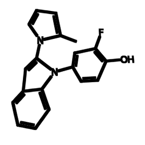 Cc1cccn1-c1cc2ccccc2n1-c1ccc(O)c(F)c1